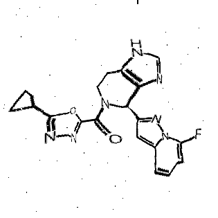 O=C(c1nnc(C2CC2)o1)N1CCc2[nH]cnc2[C@H]1c1cc2cccc(F)n2n1